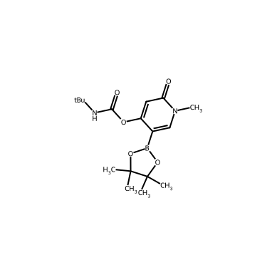 Cn1cc(B2OC(C)(C)C(C)(C)O2)c(OC(=O)NC(C)(C)C)cc1=O